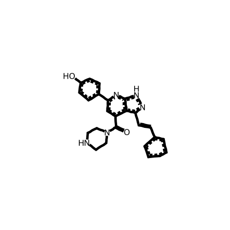 O=C(c1cc(-c2ccc(O)cc2)nc2[nH]nc(C=Cc3ccccc3)c12)N1CCNCC1